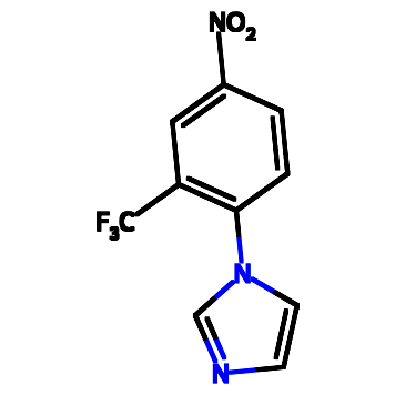 O=[N+]([O-])c1ccc(-n2ccnc2)c(C(F)(F)F)c1